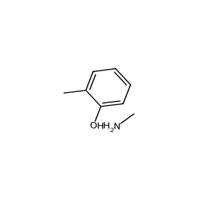 CN.Cc1ccccc1O